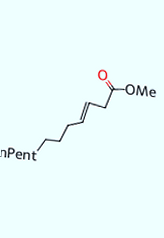 CCCCCCCCC=CCC(=O)OC